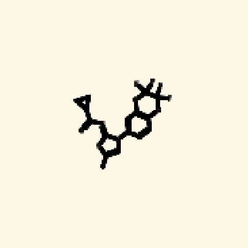 Cc1cn(-c2ccc3c(c2)OC(F)(F)C(F)(F)O3)c(=NC(=O)C2CC2)s1